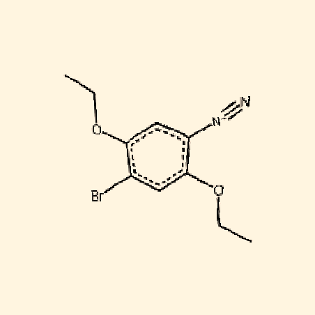 CCOc1cc([N+]#N)c(OCC)cc1Br